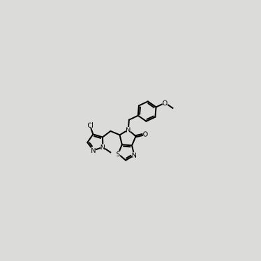 COc1ccc(CN2C(=O)c3ncsc3C2Cc2c(Cl)cnn2C)cc1